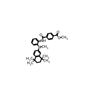 COC(=O)c1ccc(C(=O)Nc2ccccc2N(C)c2ccc3c(c2)C(C)(C)CCC3(C)C)cc1